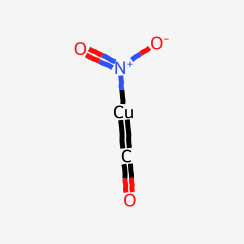 O=[C]=[Cu][N+](=O)[O-]